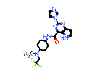 CN(CC(F)(F)F)C1CCC(NC(=O)c2nc(-n3ccnc3)nc3cc[nH]c23)CC1